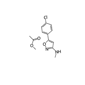 CNc1cc(-c2ccc(Cl)cc2)on1.COC(C)=O